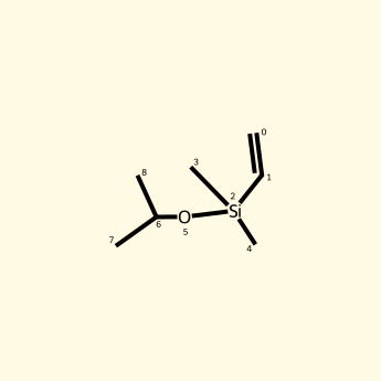 C=C[Si](C)(C)OC(C)C